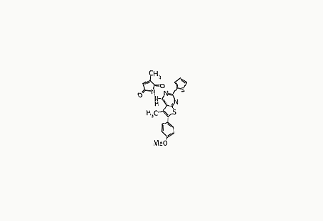 COc1ccc(-c2sc3nc(-c4cccs4)nc(NN4C(=O)C=C(C)C4=O)c3c2C)cc1